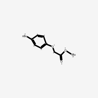 CCCCc1ccc(OCC(=O)OC(C)(C)C)cc1